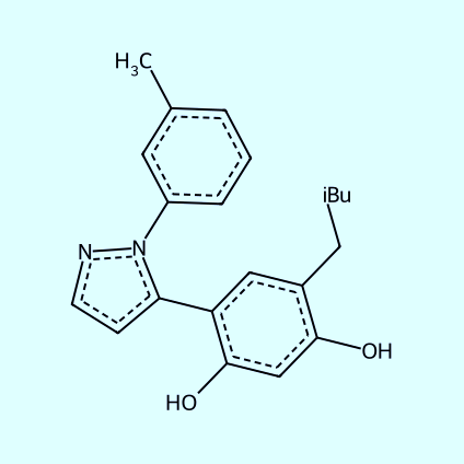 CCC(C)Cc1cc(-c2ccnn2-c2cccc(C)c2)c(O)cc1O